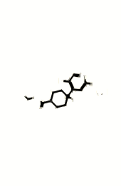 CCOC(=O)C1CCC(O)(c2cc(OC)ncc2F)CC1